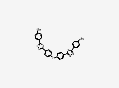 CC(C)(C)c1ccc(-c2nnc(-c3ccc(Oc4ccc(-c5nnc(-c6ccc(C(C)(C)C)cc6)s5)cc4)cc3)s2)cc1